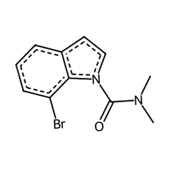 CN(C)C(=O)n1ccc2cccc(Br)c21